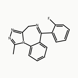 Cc1nnc2n1-c1cc[c]cc1C(c1ccccc1F)=NC2